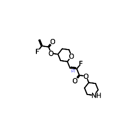 C=C(F)C(=O)OC1CCOC(/C=C(\F)C(=O)OC2CCNCC2)C1